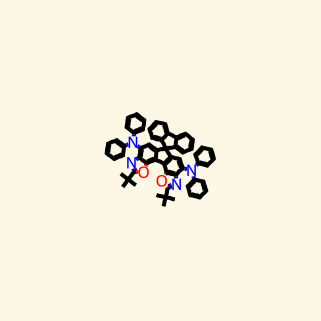 CC(C)(C)c1nc2c(N(c3ccccc3)c3ccccc3)cc3c(c2o1)-c1c(cc(N(c2ccccc2)c2ccccc2)c2nc(C(C)(C)C)oc12)C31c2ccccc2-c2ccccc21